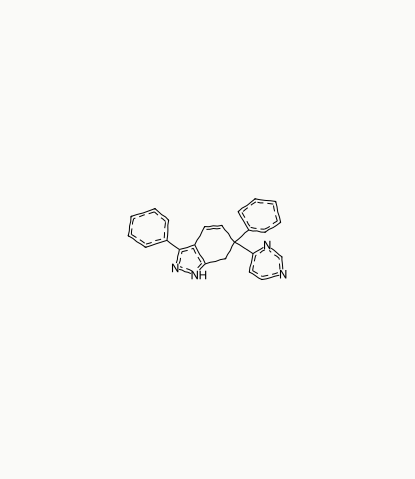 C1=CC(c2ccccc2)(c2ccncn2)Cc2[nH]nc(-c3ccccc3)c21